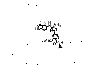 COc1cc(-c2nc(Nc3ccc4[nH]ncc4c3C)n(C)n2)cnc1C(=O)NC1CC1